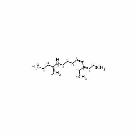 C=C(BCCC/C=C\C(=C/CC)CC)CCC